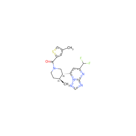 Cc1csc(C(=O)N2CC[C@H](C)[C@@H](c3cc(C(F)F)nc4ncnn34)C2)c1